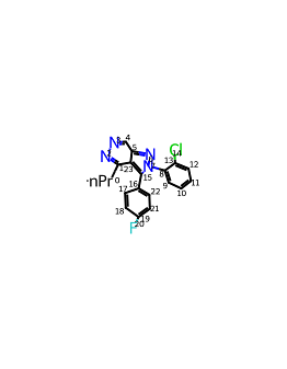 CC[CH]c1nncc2nn(-c3ccccc3Cl)c(-c3ccc(F)cc3)c12